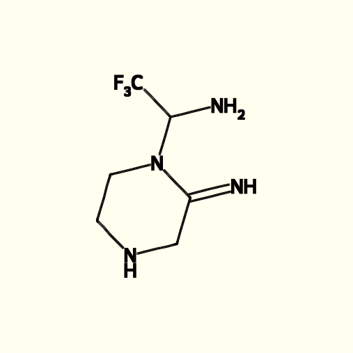 N=C1CNCCN1C(N)C(F)(F)F